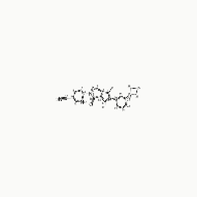 Cc1c2cnn(-c3ccc(C#N)cn3)c(=O)c2c(C)n1-c1cccc(N2CCC2)c1